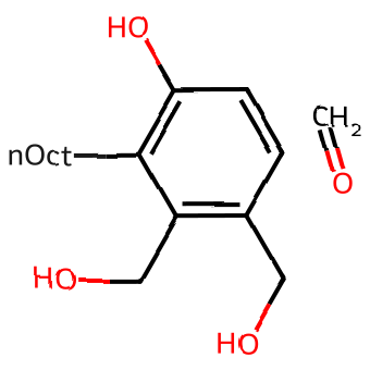 C=O.CCCCCCCCc1c(O)ccc(CO)c1CO